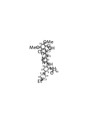 C=CC(=O)Nc1cc(N2CCN(CC)CC2)ccc1Nc1cc(N(C)C(=O)N(CO)c2c(Cl)c(OC)cc(OC)c2Cl)ncn1